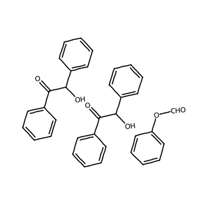 O=C(c1ccccc1)C(O)c1ccccc1.O=C(c1ccccc1)C(O)c1ccccc1.O=COc1ccccc1